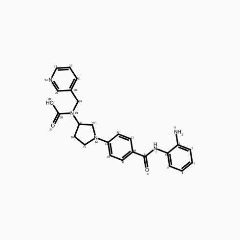 Nc1ccccc1NC(=O)c1ccc(N2CCC(N(Cc3cccnc3)C(=O)O)C2)cc1